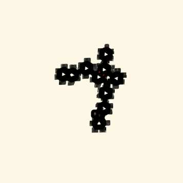 c1ccc(-c2cccc(-c3ccccc3N(c3ccc(-c4cccc(-c5ccc6ccccc6c5)c4)cc3)c3ccc(-c4ccc5c(c4)oc4ccccc45)cc3)c2)cc1